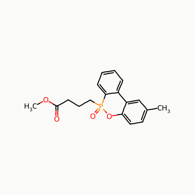 COC(=O)CCCP1(=O)Oc2ccc(C)cc2-c2ccccc21